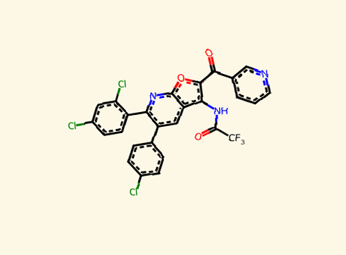 O=C(c1cccnc1)c1oc2nc(-c3ccc(Cl)cc3Cl)c(-c3ccc(Cl)cc3)cc2c1NC(=O)C(F)(F)F